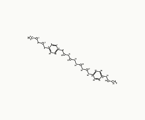 COCOCc1ccc(COCOCCOCOCc2ccc(COC)cc2)cc1